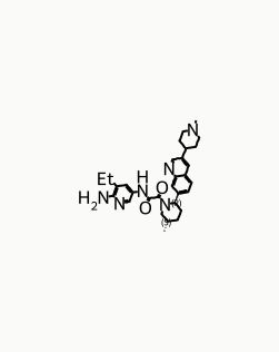 CCc1cc(NC(=O)C(=O)N2C[C@@H](C)CC[C@@H]2c2ccc3cc(C4CCN(C)CC4)cnc3c2)cnc1N